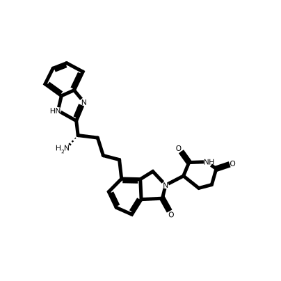 N[C@@H](CCCc1cccc2c1CN(C1CCC(=O)NC1=O)C2=O)c1nc2ccccc2[nH]1